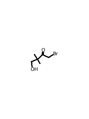 CC(C)(CO)C(=O)CBr